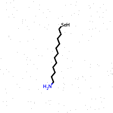 NCCCCCCCCCCCC[SeH]